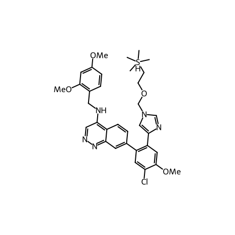 COc1ccc(CNc2cnnc3cc(-c4cc(Cl)c(OC)cc4-c4cn(COCC[SH](C)(C)(C)C)cn4)ccc23)c(OC)c1